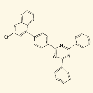 Clc1cc(-c2ccc(-c3nc(-c4ccccc4)nc(-c4ccccc4)n3)cc2)c2ccccc2c1